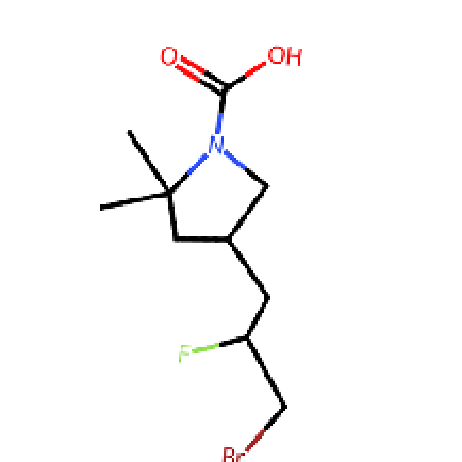 CC1(C)CC(CC(F)CBr)CN1C(=O)O